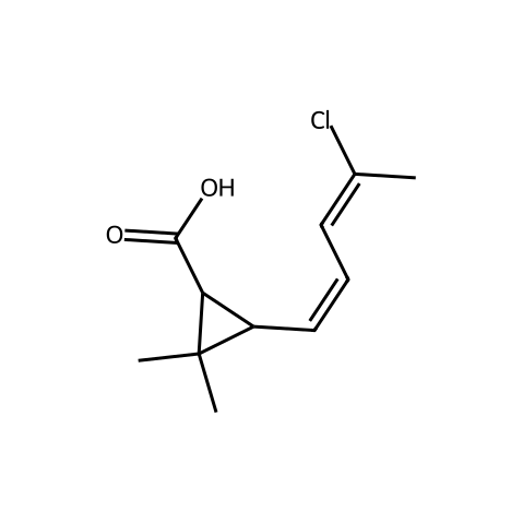 C/C(Cl)=C\C=C/C1C(C(=O)O)C1(C)C